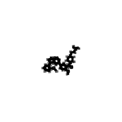 COc1ccc(-c2cnc3[nH]cc(-c4ccccc4OC)c3c2)cc1C(=O)N1CCN(CCN(C)C)CC1